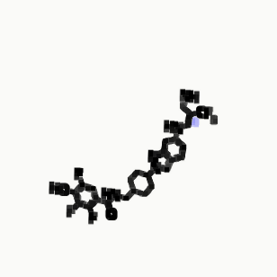 N=C/C(=C\Nc1ccc2cn(C3CCC(CNC(=O)c4cc(F)c(O)c(F)c4F)CC3)nc2c1)C(F)(F)F